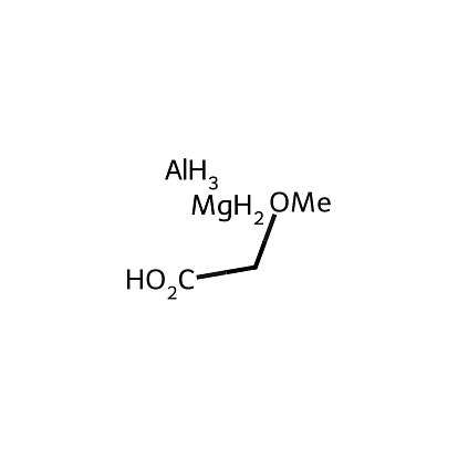 COCC(=O)O.[AlH3].[MgH2]